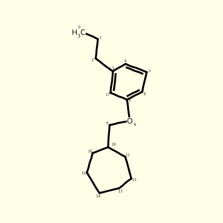 CCCc1cccc(OCC2CCCCCC2)c1